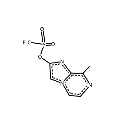 Cc1nccn2cc(OS(=O)(=O)C(F)(F)F)nc12